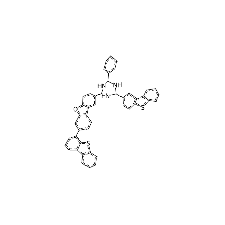 c1ccc(C2NC(c3ccc4oc5cc(-c6cccc7c6sc6ccccc67)ccc5c4c3)NC(c3ccc4sc5ccccc5c4c3)N2)cc1